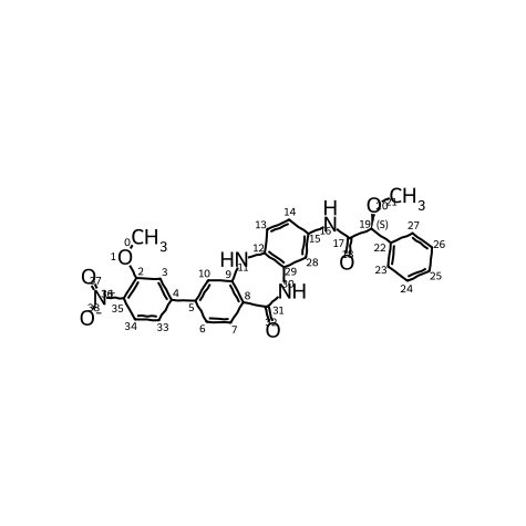 COc1cc(-c2ccc3c(c2)Nc2ccc(NC(=O)[C@@H](OC)c4ccccc4)cc2NC3=O)ccc1[N+](=O)[O-]